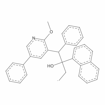 [CH2]CC(O)(c1cccc2ccccc12)C(c1ccccc1)c1cc(-c2ccccc2)cnc1OC